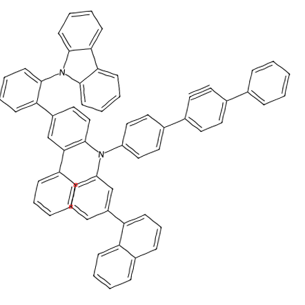 c1c(-c2ccccc2)ccc(-c2ccc(N(c3cccc(-c4cccc5ccccc45)c3)c3ccc(-c4ccccc4-n4c5ccccc5c5ccccc54)cc3-c3ccccc3)cc2)c#1